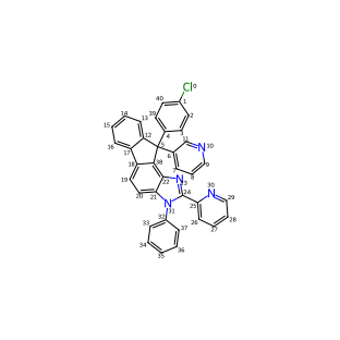 Clc1ccc(C2(c3cccnc3)c3ccccc3-c3ccc4c(nc(-c5ccccn5)n4-c4ccccc4)c32)cc1